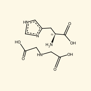 N[C@@H](Cc1c[nH]cn1)C(=O)O.O=C(O)CNCC(=O)O